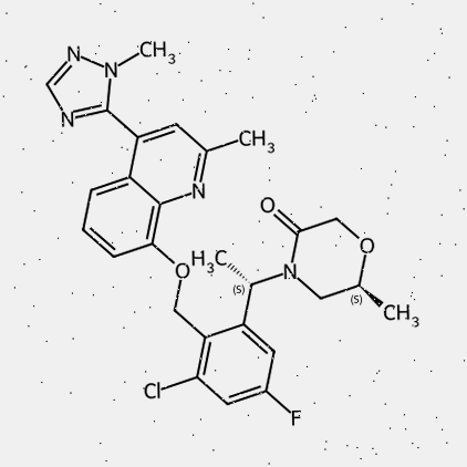 Cc1cc(-c2ncnn2C)c2cccc(OCc3c(Cl)cc(F)cc3[C@H](C)N3C[C@H](C)OCC3=O)c2n1